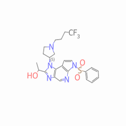 CC(O)c1nc2cnc3c(ccn3S(=O)(=O)c3ccccc3)c2n1[C@H]1CCN(CCCC(F)(F)F)C1